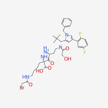 CC(C)(C)[C@H](c1cc(-c2cc(F)ccc2F)cn1Cc1ccccc1)N(CC[C@H](N)C(=O)[C@@](N)(CCCCNC(=O)CBr)C(=O)O)C(=O)CO